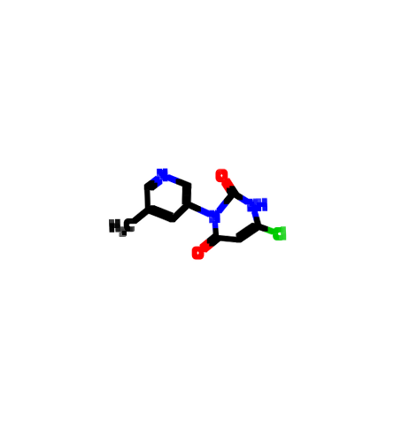 Cc1cncc(-n2c(=O)cc(Cl)[nH]c2=O)c1